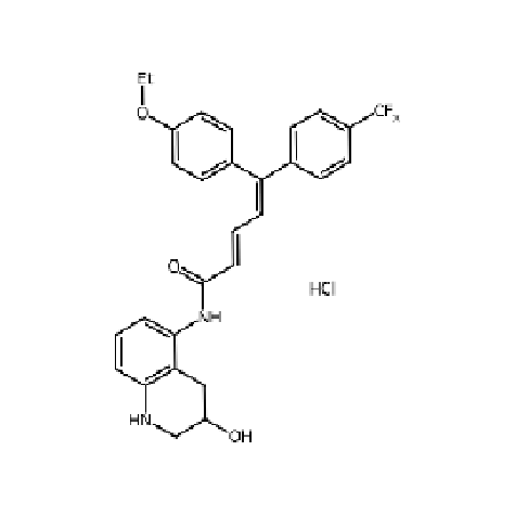 CCOc1ccc(/C(=C\C=C\C(=O)Nc2cccc3c2CC(O)CN3)c2ccc(C(F)(F)F)cc2)cc1.Cl